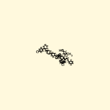 CC1CC(O)CN1CC[C@H](CSc1ccccc1)Nc1ccc(S(=O)(=O)NC(=O)c2ccc(N3CCN(CC4=C(c5ccc(Cl)cc5)CCCC4)CC3)cc2)cc1S(=O)(=O)C(F)(F)Cl